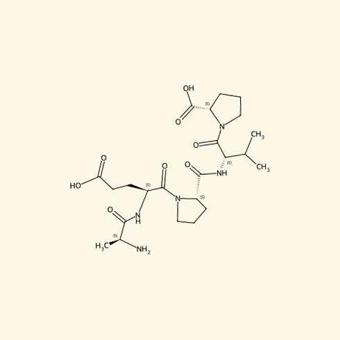 CC(C)[C@H](NC(=O)[C@@H]1CCCN1C(=O)[C@H](CCC(=O)O)NC(=O)[C@H](C)N)C(=O)N1CCC[C@H]1C(=O)O